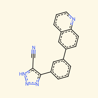 N#Cc1[nH]nnc1-c1cccc(-c2ccc3ncccc3c2)c1